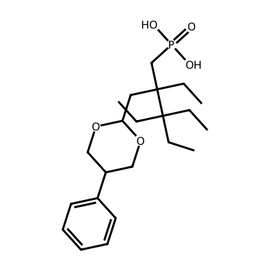 CCC(CC)(CC)C(CC)(CC1OCC(c2ccccc2)CO1)CP(=O)(O)O